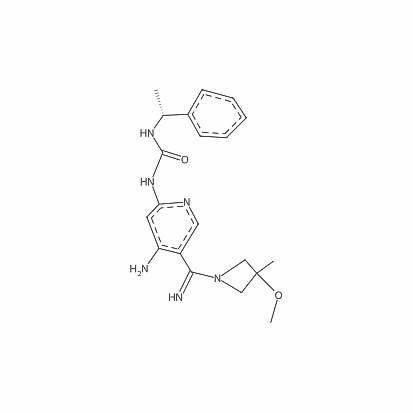 COC1(C)CN(C(=N)c2cnc(NC(=O)N[C@H](C)c3ccccc3)cc2N)C1